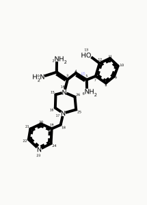 NC(N)=C(/C=C(\N)c1ccccc1O)N1CCN(Cc2cccnc2)CC1